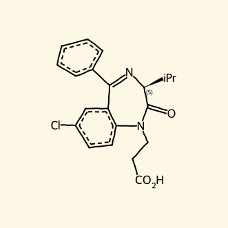 CC(C)[C@@H]1N=C(c2ccccc2)c2cc(Cl)ccc2N(CCC(=O)O)C1=O